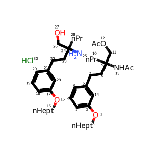 CCCCCCCOc1cccc(CCC(CCC)(COC(C)=O)NC(C)=O)c1.CCCCCCCOc1cccc(CCC(N)(CO)CCC)c1.Cl